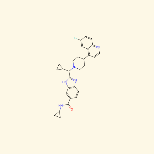 O=C(NC1CC1)c1ccc2nc(C(C3CC3)N3CCC(c4ccnc5ccc(F)cc45)CC3)[nH]c2c1